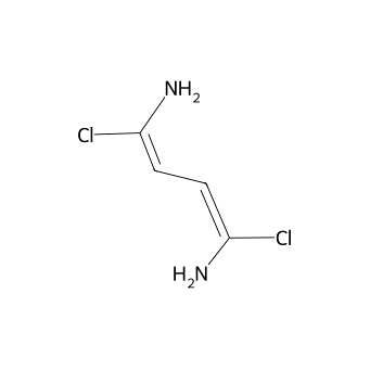 N/C(Cl)=C\C=C(/N)Cl